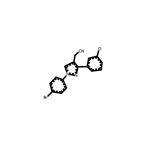 N#CCc1cn(-c2ccc(Br)cc2)nc1-c1cccc(Cl)c1